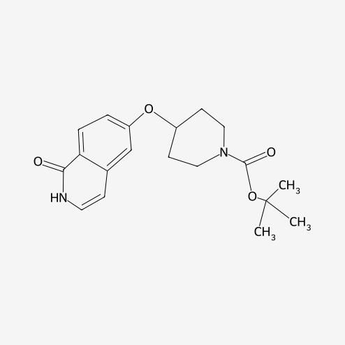 CC(C)(C)OC(=O)N1CCC(Oc2ccc3c(=O)[nH]ccc3c2)CC1